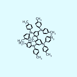 Cc1ccc(N(c2ccc(C)cc2)c2cc(-c3cc(N(c4ccc(C)cc4)c4ccc(C)cc4)cc(N(c4ccc(C)cc4)c4ccc(C)cc4)c3C)c(C)c(N(c3ccc(C)cc3)c3ccc(C)cc3)c2)cc1